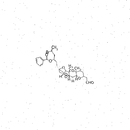 C=C(Br)C[C@@H](CC[C@@]12C[C@H]3O[C@H]4[C@@H](O1)[C@H]1OC(CC=O)CCC1(C)O[C@@]4(C)C3O2)OC(=O)c1ccccc1